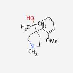 COc1ccccc1C1(C(C)(C)O)CCN(C)CC1